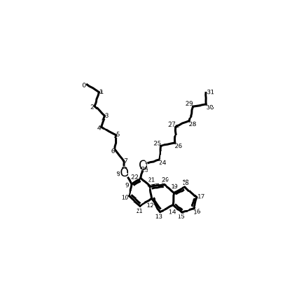 CCCCCCCCOc1ccc2cc3ccccc3cc2c1OCCCCCCCC